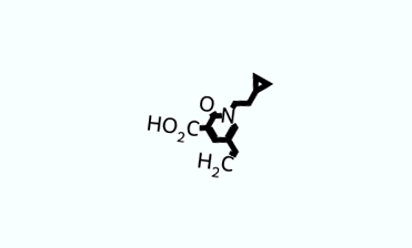 C=Cc1cc(C(=O)O)c(=O)n(CCC2CC2)c1